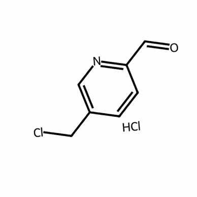 Cl.O=Cc1ccc(CCl)cn1